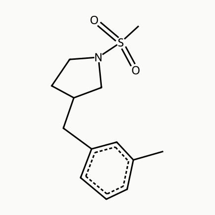 Cc1cccc(CC2CCN(S(C)(=O)=O)C2)c1